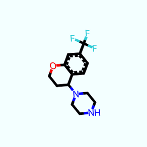 FC(F)(F)c1ccc2c(c1)OCCC2N1CCNCC1